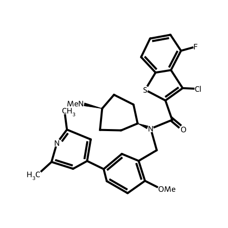 CN[C@H]1CC[C@@H](N(Cc2cc(-c3cc(C)nc(C)c3)ccc2OC)C(=O)c2sc3cccc(F)c3c2Cl)CC1